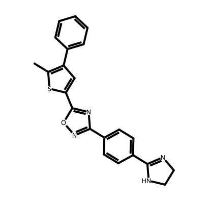 Cc1sc(-c2nc(-c3ccc(C4=NCCN4)cc3)no2)cc1-c1ccccc1